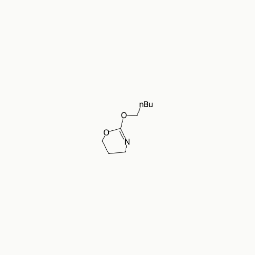 CCCCCOC1=NCCCO1